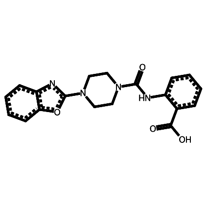 O=C(O)c1ccccc1NC(=O)N1CCN(c2nc3ccccc3o2)CC1